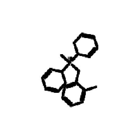 Cc1ccccc1C[PH](C)(C1C=CC=CC1)C1C=CC=CC1